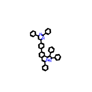 c1ccc(-c2cc(-c3ccc(-c4ccc5cc(-c6ccccc6)n6nc(-c7ccccc7)c(-c7ccccc7)c6c5c4)cc3)nc(-c3ccccc3)n2)cc1